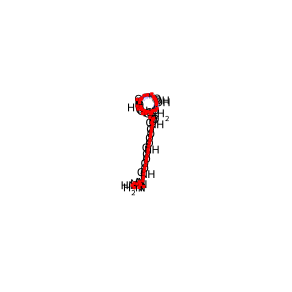 CO[C@H]1C[C@@H]2CC[C@@H](C)[C@@](O)(O2)C(=O)C(=O)N2CCCC[C@H]2C(=O)O[C@H]([C@H](N)C[C@@H]2CC[C@@H](OC(=O)NCCOCCOCCOCCOCCC(=O)NCCOCCOCCOCCOCCC(=O)NCCCCn3nc(-c4cnc5[nH]ccc5c4)c4c(N)ncnc43)[C@H](OC)C2)CC(=O)[C@H](C)/C=C(\C)[C@@H](O)[C@@H](O)C(=O)[C@H](C)C[C@H](C)/C=C/C=C/C=C/1C